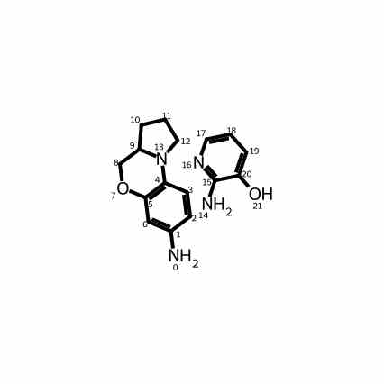 Nc1ccc2c(c1)OCC1CCCN21.Nc1ncccc1O